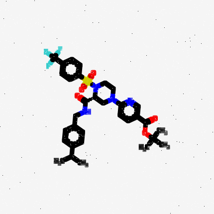 CC(C)c1ccc(CNC(=O)[C@H]2CN(c3ccc(C(=O)OC(C)(C)C)cn3)CCN2S(=O)(=O)c2ccc(C(F)(F)F)cc2)cc1